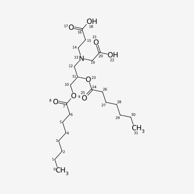 CCCCCCCC(=O)OCC(CN(CCC(=O)O)CC(=O)O)OC(=O)CCCCCC